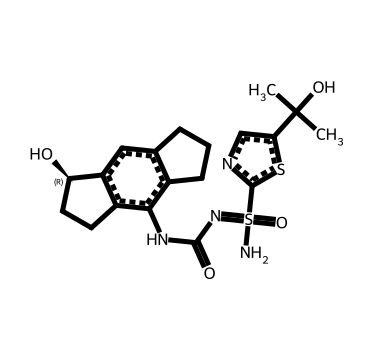 CC(C)(O)c1cnc(S(N)(=O)=NC(=O)Nc2c3c(cc4c2CC[C@H]4O)CCC3)s1